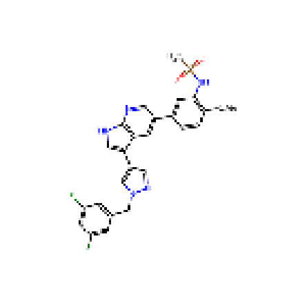 COc1ccc(-c2cnc3[nH]cc(-c4cnn(Cc5cc(F)cc(F)c5)c4)c3c2)cc1NS(C)(=O)=O